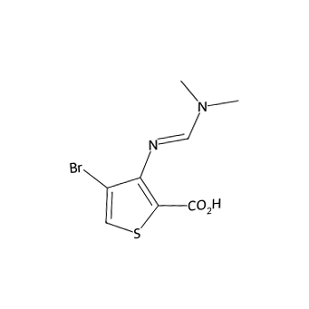 CN(C)C=Nc1c(Br)csc1C(=O)O